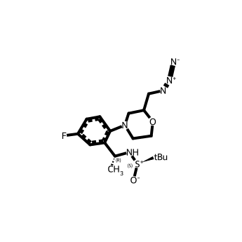 C[C@@H](N[S@+]([O-])C(C)(C)C)c1cc(F)ccc1N1CCOC(CN=[N+]=[N-])C1